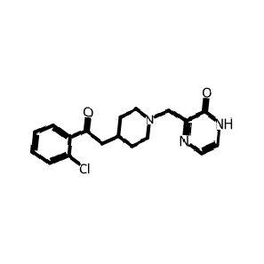 O=C(CC1CCN(Cc2ncc[nH]c2=O)CC1)c1ccccc1Cl